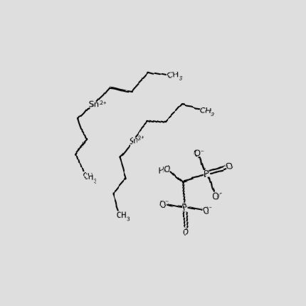 CCC[CH2][Sn+2][CH2]CCC.CCC[CH2][Sn+2][CH2]CCC.O=P([O-])([O-])C(O)P(=O)([O-])[O-]